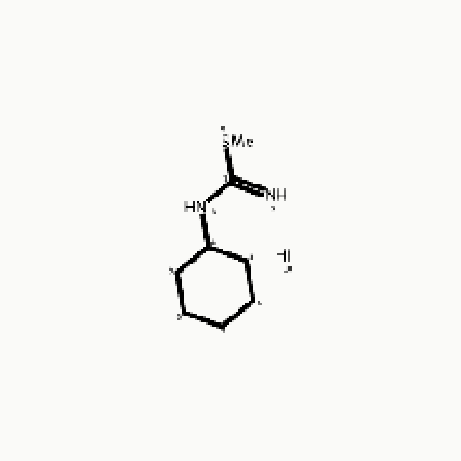 CSC(=N)NC1CCCCC1.I